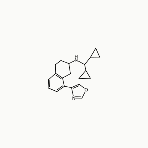 c1cc2c(c(-c3cocn3)c1)CC(NC(C1CC1)C1CC1)CC2